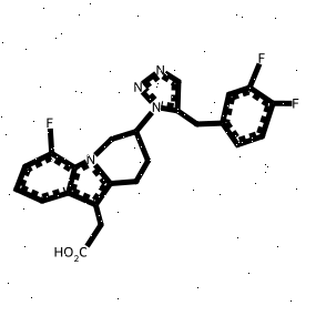 O=C(O)Cc1c2n(c3c(F)cccc13)CC(n1nncc1Cc1ccc(F)c(F)c1)CC2